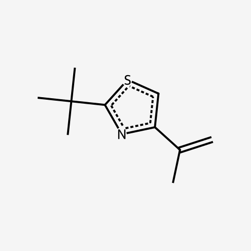 C=C(C)c1csc(C(C)(C)C)n1